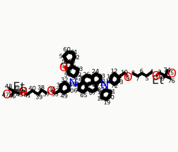 CCC1(COCCCCCOCc2ccc(N(c3ccccc3)c3ccc4ccc5c(N(c6ccc(COCCCCCOCC7(CC)COC7)cc6)c6ccc7c(c6)oc6ccccc67)ccc6ccc3c4c65)cc2)COC1